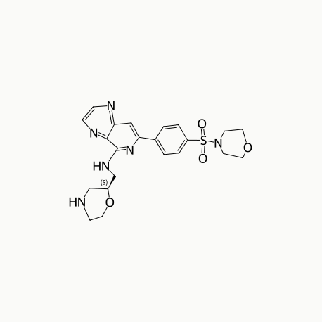 O=S(=O)(c1ccc(-c2cc3nccnc3c(NC[C@@H]3CNCCO3)n2)cc1)N1CCOCC1